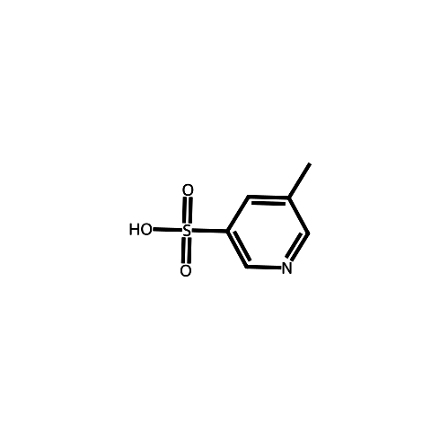 Cc1cncc(S(=O)(=O)O)c1